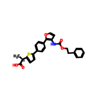 C[C@H](C(=O)O)c1ccc(-c2ccc(-c3occc3NC(=O)OCCc3ccccc3)cc2)s1